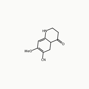 COC1=C(C#N)CC2C(=O)CCNC2=C1